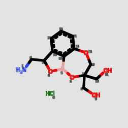 Cl.NCC1OB2OC(CO)(CO)COc3cccc1c32